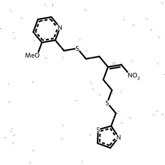 COc1cccnc1CSCC/C(=C/[N+](=O)[O-])CCSCc1nccs1